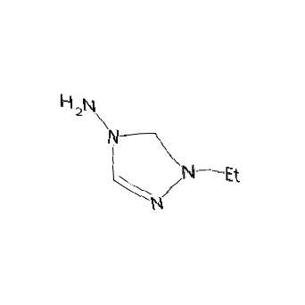 CCN1CN(N)C=N1